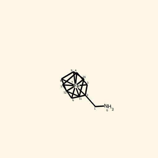 NC[C]12[CH]3[CH]4[CH]5[CH]1[Fe]45321678[CH]2[CH]1[CH]6[CH]7[CH]28